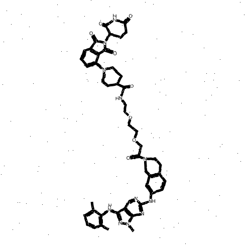 Cc1cccc(C)c1Nc1nn(C)c2nc(Nc3ccc4c(c3)CN(C(=O)COCCOCCNC(=O)C3CCN(c5cccc6c5C(=O)N(C5CCC(=O)NC5=O)C6=O)CC3)CC4)ncc12